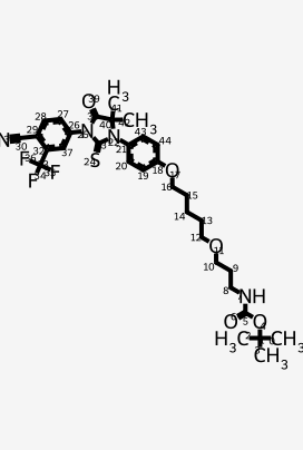 CC(C)(C)OC(=O)NCCCOCCCCCOc1ccc(N2C(=S)N(c3ccc(C#N)c(C(F)(F)F)c3)C(=O)C2(C)C)cc1